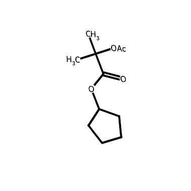 [CH2]C(=O)OC(C)(C)C(=O)OC1CCCC1